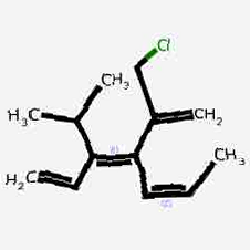 C=C/C(=C(\C=C/C)C(=C)CCl)C(C)C